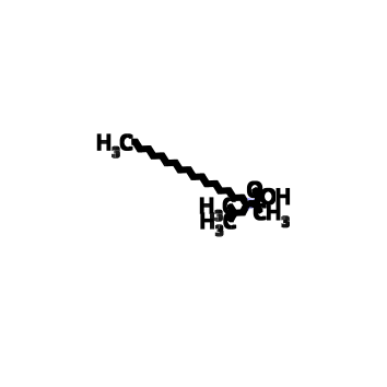 CCCCCCCCCCCCCCCCCC/C(CC(C)C)=C(/C)C(=O)O